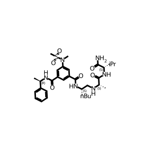 CCCC[C@@H](CN[C@@H](C)C(=O)N[C@H](C(N)=O)C(C)C)NC(=O)c1cc(C(=O)N[C@H](C)c2ccccc2)cc(N(C)S(C)(=O)=O)c1